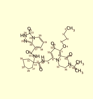 CCCCOc1c2n(c(CNC(=O)C3(NC(=O)c4cccn5c(=O)[nH]nc45)CCCCC3)cc1=O)CCN(C(C)C)C2=O